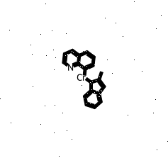 CC1=Cc2ccccc2[CH]1[Cr][c]1cccc2cccnc12